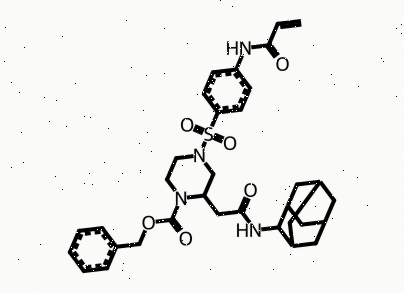 C=CC(=O)Nc1ccc(S(=O)(=O)N2CCN(C(=O)OCc3ccccc3)C(CC(=O)NC3C4CC5CC(C4)CC3C5)C2)cc1